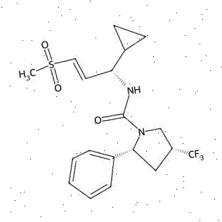 CS(=O)(=O)/C=C/[C@@H](NC(=O)N1C[C@H](C(F)(F)F)C[C@@H]1c1ccccc1)C1CC1